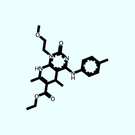 CCOC(=O)C1=C(C)Nc2c(c(Nc3ccc(C)cc3)nc(=O)n2CCOC)C1C